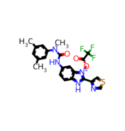 Cc1cc(C)cc(N(C)C(=O)Nc2ccc3[nH]c(-c4cscn4)[n+](OC(=O)C(F)(F)F)c3c2)c1